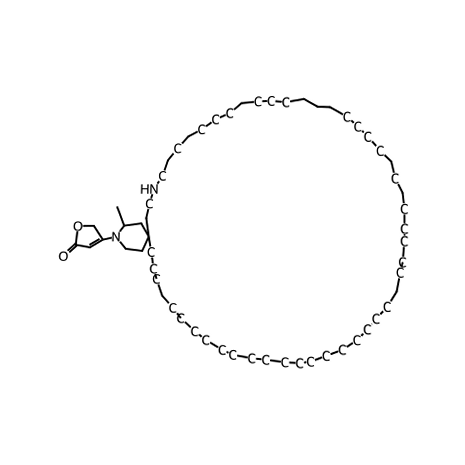 CC1CC2(CCCCCCCCCCCCCCCCCCCCCCCCCCCCCCCCCCCCCCCCCCCCCCCCNCC2)CCN1C1=CC(=O)OC1